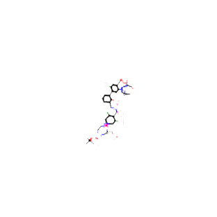 COC[C@@H]1CN(C(=O)OC(C)(C)C)CCN1c1cc(Cl)c(C(=O)N2COc3c(cccc3-c3cc(N4[C@@H]5CC[C@H]4COC5)c(C(=O)OC)cc3F)C2)c(Cl)c1